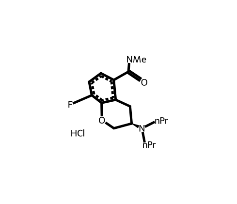 CCCN(CCC)[C@H]1COc2c(F)ccc(C(=O)NC)c2C1.Cl